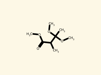 COC(=O)C(C)C(C)(OC)OC